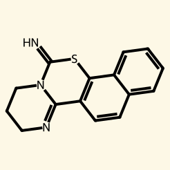 N=C1Sc2c(ccc3ccccc23)C2=NCCCN12